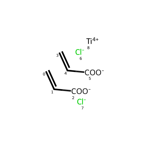 C=CC(=O)[O-].C=CC(=O)[O-].[Cl-].[Cl-].[Ti+4]